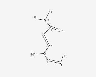 C/C=C\C(C=CC(=O)N(C)C)C(C)C